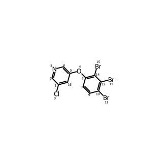 Clc1cncc(Oc2ccc(Br)c(Br)c2Br)c1